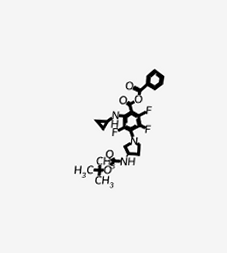 CC(C)(C)OC(=O)N[C@H]1CCN(c2c(F)c(F)c(C(=O)OC(=O)c3ccccc3)c(NC3CC3)c2F)C1